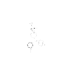 O=S(=O)(C1CC1)N1CCC([C@H](c2cccc(F)c2)N2CCNCC2)CC1